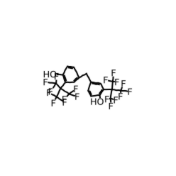 Oc1ccc(Cc2ccc(O)c(C(C(F)(F)F)(C(F)(F)F)C(F)(F)F)c2)cc1C(C(F)(F)F)(C(F)(F)F)C(F)(F)F